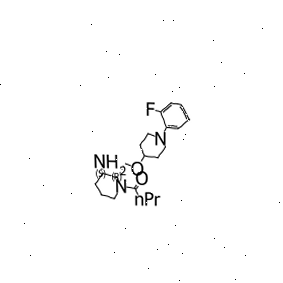 CCCC(=O)N1CCC[C@H](N)[C@@H]1COC1CCN(c2ccccc2F)CC1